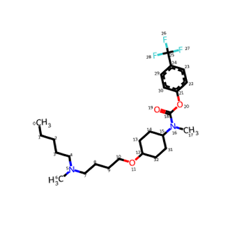 CCCCCN(C)CCCCOC1CCC(N(C)C(=O)Oc2ccc(C(F)(F)F)cc2)CC1